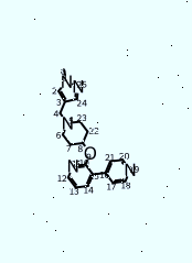 Cn1cc(CN2CCC(Oc3ncccc3-c3ccncc3)CC2)cn1